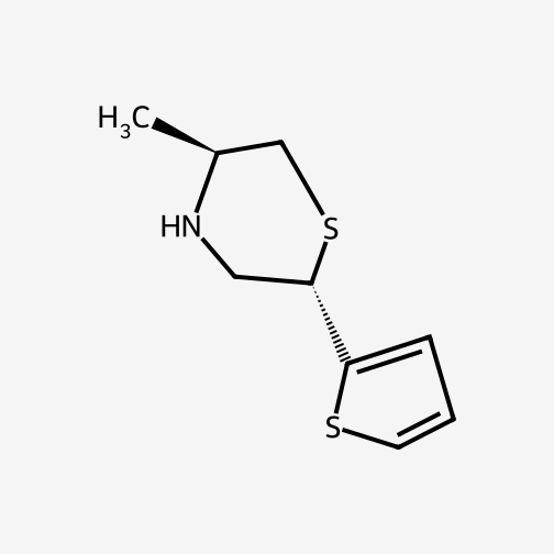 C[C@H]1CS[C@H](c2cccs2)CN1